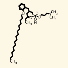 CCCCCCCCCCCCCCCCCCOc1ccccc1CC(COP(=O)(O)OCCCN(C)C)CC(=O)CC